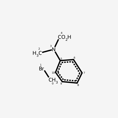 CBr.CN(C(=O)O)c1ccccc1